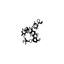 C=CC(=O)N1C[C@H](C)N(c2nc(=O)n3c4nc(c(F)cc24)-c2c(ccc(F)c2F)OCC(F)(F)CCC2C3=C(C(C)C)N=CC2C)C[C@H]1C